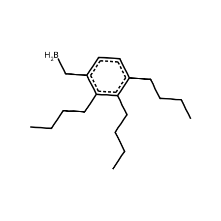 BCc1ccc(CCCC)c(CCCC)c1CCCC